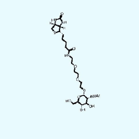 CC(=O)N[C@@H]1C(O)[C@H](O)C(CO)O[C@@H]1OCCOCCOCCNC(=O)CCCC[C@@H]1SC[C@@H]2NC(=O)N[C@@H]21